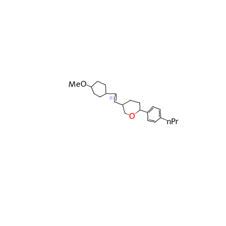 CCCc1ccc(C2CCC(/C=C/C3CCC(OC)CC3)CO2)cc1